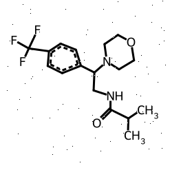 CC(C)C(=O)NCC(c1ccc(C(F)(F)F)cc1)N1CCOCC1